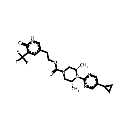 C[C@@H]1CN(C(=O)OCCc2c[nH]c(=O)c(C(F)(F)F)c2)C[C@H](C)N1c1ncc(C2CC2)cn1